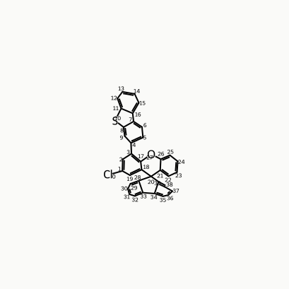 Clc1cc(-c2ccc3c(c2)sc2ccccc23)c2c(c1)C1(c3ccccc3O2)c2ccccc2-c2ccccc21